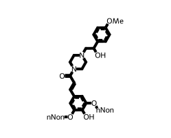 CCCCCCCCCOc1cc(C=CC(=O)N2CCN(CC(O)c3ccc(OC)cc3)CC2)cc(OCCCCCCCCC)c1O